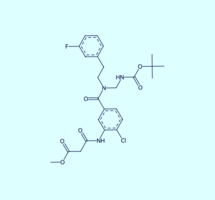 COC(=O)CC(=O)Nc1cc(C(=O)N(CCc2cccc(F)c2)CNC(=O)OC(C)(C)C)ccc1Cl